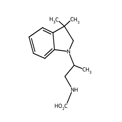 CC(CNC(=O)O)N1CC(C)(C)c2ccccc21